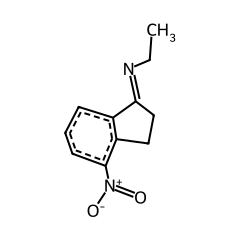 CC/N=C1\CCc2c1cccc2[N+](=O)[O-]